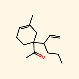 C=CC(CCC)C1(C(C)=O)CCC=C(C)C1